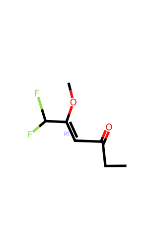 CCC(=O)/C=C(\OC)C(F)F